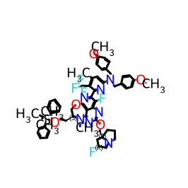 COc1ccc(CN(Cc2ccc(OC)cc2)c2cc(C)c(C(F)(F)F)c(-c3nc4c5c(nc(OC[C@@]67CCCN6C[C@H](F)C7)nc5c3F)N(C)[C@@H](CCO[Si](c3ccccc3)(c3ccccc3)C(C)(C)C)CO4)n2)cc1